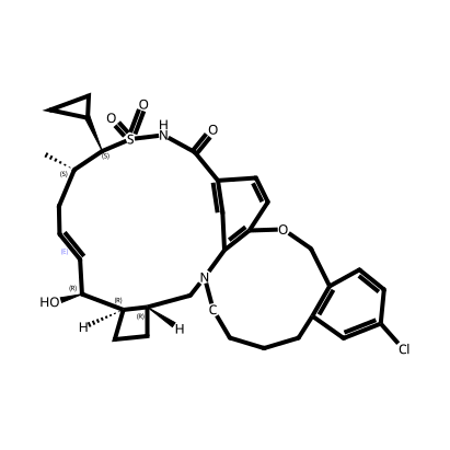 C[C@H]1C/C=C/[C@H](O)[C@@H]2CC[C@H]2CN2CCCCc3cc(Cl)ccc3COc3ccc(cc32)C(=O)NS(=O)(=O)[C@@H]1C1CC1